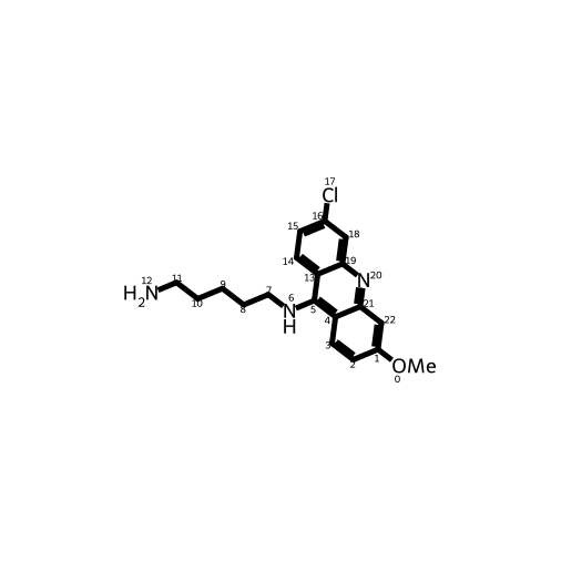 COc1ccc2c(NCCCCCN)c3ccc(Cl)cc3nc2c1